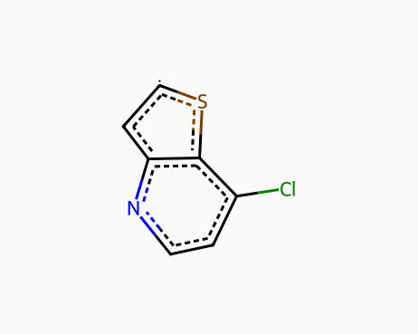 Clc1ccnc2c[c]sc12